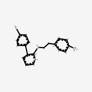 Fc1ccc(-c2cccnc2SCCc2ccc(C(F)(F)F)cc2)cc1